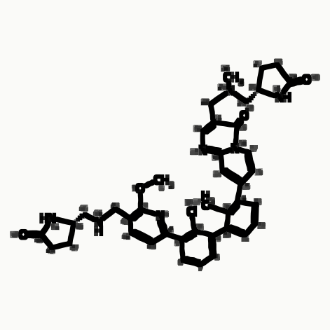 COc1nc(-c2cccc(-c3cccc(-c4ccn5c(=O)c(CN(C)C[C@@H]6CCC(=O)N6)cnc5c4)c3C)c2Cl)ccc1CNC[C@@H]1CCC(=O)N1